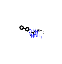 B/N=C/c1c(N)ncnc1Nc1ccc(-c2ccccc2)cc1